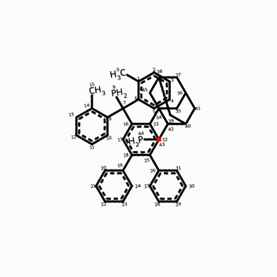 Cc1ccccc1C(P)(c1ccccc1C)c1cc(-c2ccccc2)c(-c2ccccc2)cc1C12CC3CC(CC(C3)C1CP)C2